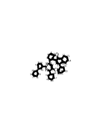 CC1=C=C(c2cccc3oc4c5ccccc5c(-c5ccccc5)cc4c23)N=C(c2cccc(-c3ccccc3)c2)N=C1c1ccccc1